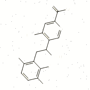 Cc1cc(C(N)=O)ncc1C(Cc1c(F)ccc(F)c1F)S(=O)(=O)O